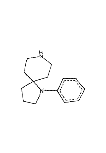 c1ccc(N2CCCC23CCNCC3)cc1